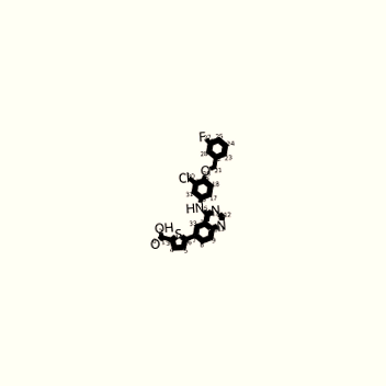 O=C(O)c1ccc(-c2ccc3ncnc(Nc4ccc(OCc5cccc(F)c5)c(Cl)c4)c3c2)s1